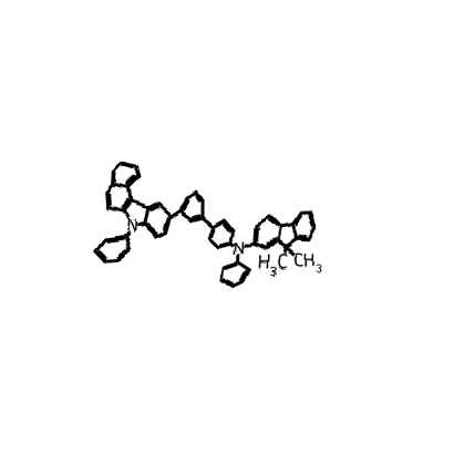 CC1(C)c2ccccc2-c2ccc(N(c3ccccc3)c3ccc(-c4cccc(-c5ccc6c(c5)c5c7ccccc7ccc5n6-c5ccccc5)c4)cc3)cc21